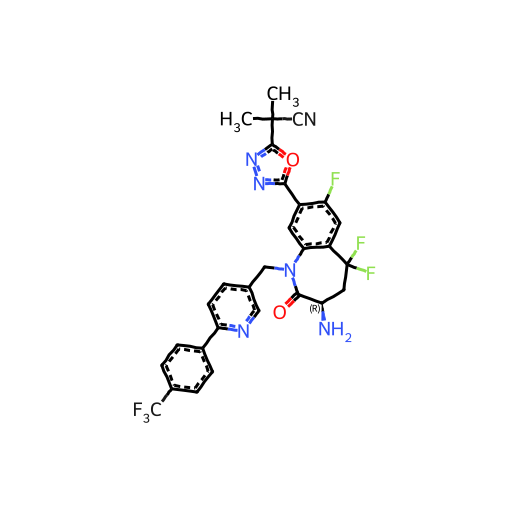 CC(C)(C#N)c1nnc(-c2cc3c(cc2F)C(F)(F)C[C@@H](N)C(=O)N3Cc2ccc(-c3ccc(C(F)(F)F)cc3)nc2)o1